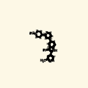 Cc1cc(-c2[nH]c3ccc(-c4ccnc(C5CCN(C(C)C)CC5)c4)cc3c2C(C)C)ccn1